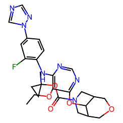 CCOc1c(Nc2ccc(-n3cncn3)cc2F)ncnc1OC1C2COCC1CN(C(=O)OC1(C)CC1)C2